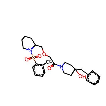 O=C(COCC1CCCCN1S(=O)(=O)c1ccccc1C(F)(F)F)N1CCC(O)(Cc2ccccc2)CC1